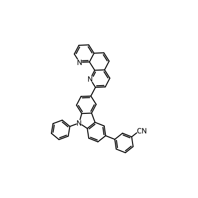 N#Cc1cccc(-c2ccc3c(c2)c2cc(-c4ccc5ccc6cccnc6c5n4)ccc2n3-c2ccccc2)c1